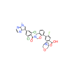 Cn1cc(-c2cc(Cl)c(C(=O)N3COc4c(cccc4-c4cc(N5C6CCC5COC6)c(C(=O)O)cc4F)C3)c(Cl)c2)c2nccnc21